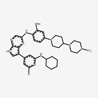 COc1cc(N2CCC(N3CCN(C)CC3)CC2)ccc1Nc1cnc2[nH]cc(-c3cc(Cl)nc(NC4CCCCC4)c3)c2n1